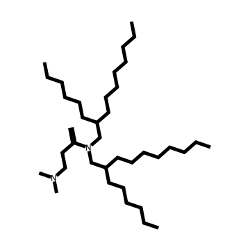 C=C(CCN(C)C)N(CC(CCCCCC)CCCCCCCC)CC(CCCCCC)CCCCCCCC